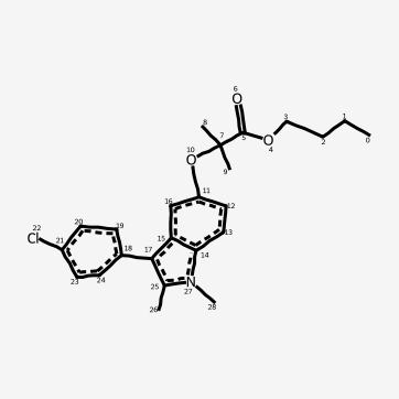 CCCCOC(=O)C(C)(C)Oc1ccc2c(c1)c(-c1ccc(Cl)cc1)c(C)n2C